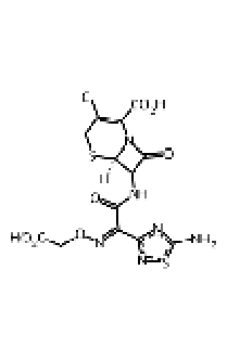 Nc1nc(/C(=N/OCC(=O)O)C(=O)NC2C(=O)N3C(C(=O)O)=C(Cl)CS[C@H]23)ns1